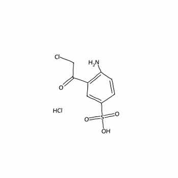 Cl.Nc1ccc(S(=O)(=O)O)cc1C(=O)CCl